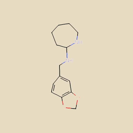 c1cc2c(cc1CNC1CCCCCN1)OCO2